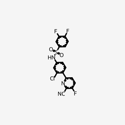 N#Cc1nc(-c2ccc(NS(=O)(=O)c3ccc(F)c(F)c3)cc2Cl)ccc1F